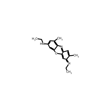 CCN=c1cc2oc3cc(NCC)cc(C)c3nc-2cc1C